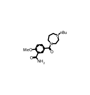 CCCCN1CCCN(C(=O)c2ccc(OC)c(C(N)=O)c2)CC1